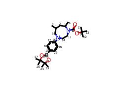 CC1CC(C)N(C(=O)OC(C)(C)C)CCN(c2ccc(B3OC(C)(C)C(C)(C)O3)cc2)C1